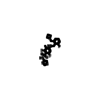 Cc1c(NCc2c(F)cccc2CN2CCC2)cc(F)c(S(=O)(=O)Nc2cscn2)c1F